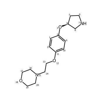 c1cc(O[C@H]2CCNC2)ccc1OCCN1CCOCC1